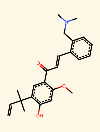 C=CC(C)(C)c1cc(C(=O)C=Cc2ccccc2CN(C)C)c(OC)cc1O